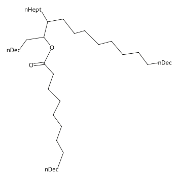 CCCCCCCCCCCCCCCCCCC(CCCCCCC)C(CCCCCCCCCCC)OC(=O)CCCCCCCCCCCCCCCCC